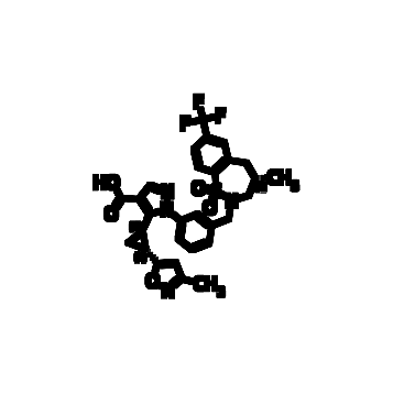 Cc1cc([C@@H]2C[C@H]2c2c(C(=O)O)cnn2-c2cccc(CN3C[C@@H](C)Cc4cc(C(F)(F)F)ccc4S3(=O)=O)c2)on1